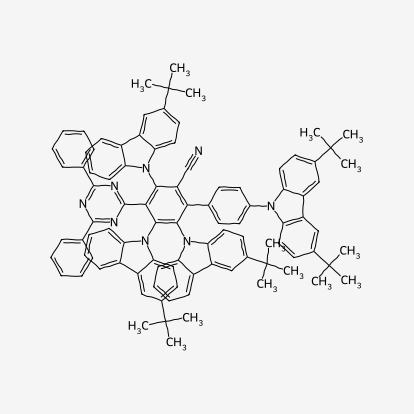 CC(C)(C)c1ccc2c(c1)c1cc(C(C)(C)C)ccc1n2-c1ccc(-c2c(C#N)c(-n3c4ccccc4c4cc(C(C)(C)C)ccc43)c(-c3nc(-c4ccccc4)nc(-c4ccccc4)n3)c(-n3c4ccccc4c4cc(C(C)(C)C)ccc43)c2-n2c3ccccc3c3cc(C(C)(C)C)ccc32)cc1